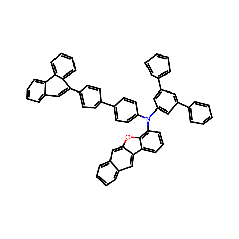 c1ccc(-c2cc(-c3ccccc3)cc(N(c3ccc(-c4ccc(-c5cc6ccccc6c6ccccc56)cc4)cc3)c3cccc4c3oc3cc5ccccc5cc34)c2)cc1